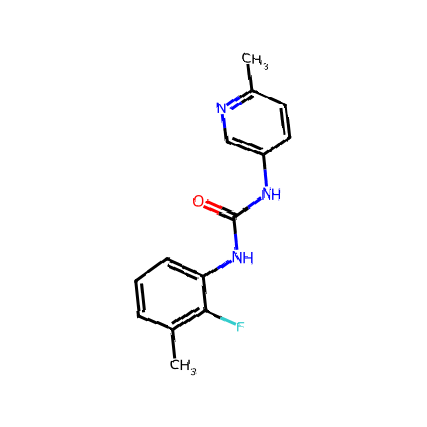 Cc1ccc(NC(=O)Nc2cccc(C)c2F)cn1